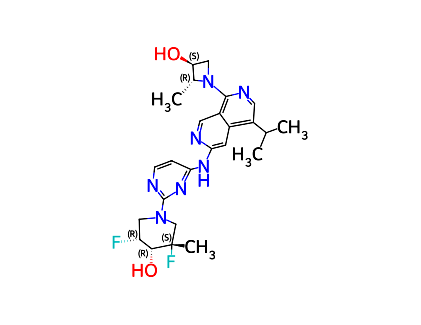 CC(C)c1cnc(N2C[C@H](O)[C@H]2C)c2cnc(Nc3ccnc(N4C[C@@H](F)[C@@H](O)[C@@](C)(F)C4)n3)cc12